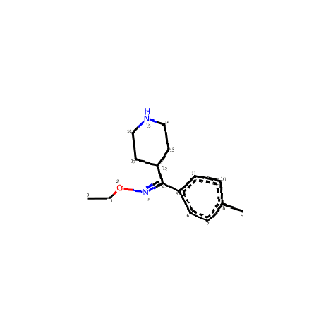 CCON=C(c1ccc(C)cc1)C1CCNCC1